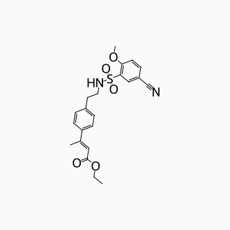 CCOC(=O)C=C(C)c1ccc(CCNS(=O)(=O)c2cc(C#N)ccc2OC)cc1